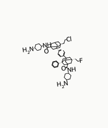 C=C(/C=C\C(=C/C)C12CC3(C(=O)N[C@H]4CC[C@H](N)CC4)C[C@](CCF)(C1)C[C@@](c1ccccc1)(C3)C2)[C@]12CC3CC(C(=O)N[C@H]4CC[C@H](N)CC4)(C[C@](CCCl)(C3)C1)C2